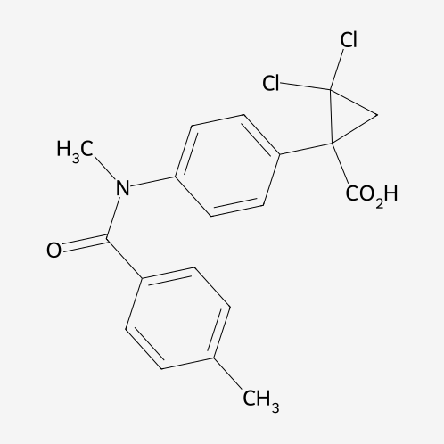 Cc1ccc(C(=O)N(C)c2ccc(C3(C(=O)O)CC3(Cl)Cl)cc2)cc1